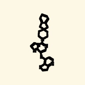 c1ccc2c(c1)CC1(CCN(c3ncc(Sc4ccnc5ccsc45)c4nccn34)CC1)C2